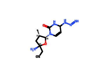 C[C@H]1C[C@@](N)(CN=O)O[C@H]1N1C=CC(NN=N)NC1=O